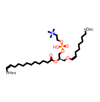 CCCCCC/C=C\CCCCCCCCCC(=O)O[C@H](CO/C=C\CCCCCCCCCCCCCCCC)COP(=O)(O)OCC[N+](C)(C)C